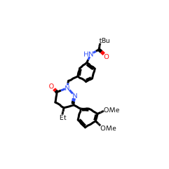 CCC1CC(=O)N(Cc2cccc(NC(=O)C(C)(C)C)c2)N=C1c1ccc(OC)c(OC)c1